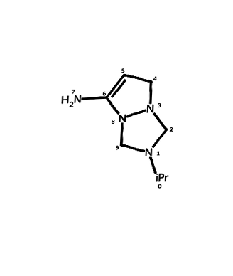 CC(C)N1CN2CC=C(N)N2C1